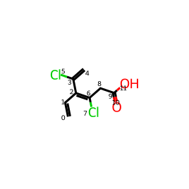 C=CC(C(=C)Cl)=C(Cl)CC(=O)O